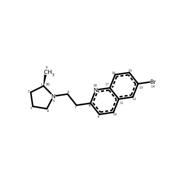 C[C@@H]1CCCN1CCc1ccc2cc(Br)ccc2n1